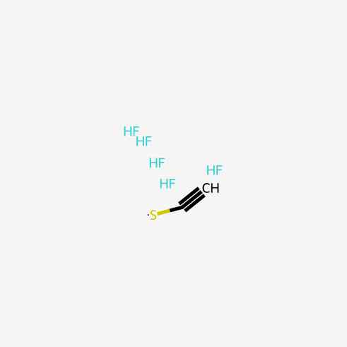 C#C[S].F.F.F.F.F